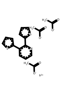 CC(=O)[O-].CC(=O)[O-].CC(=O)[O-].[Ir+3].c1csc(-c2cccnc2-c2cccs2)c1